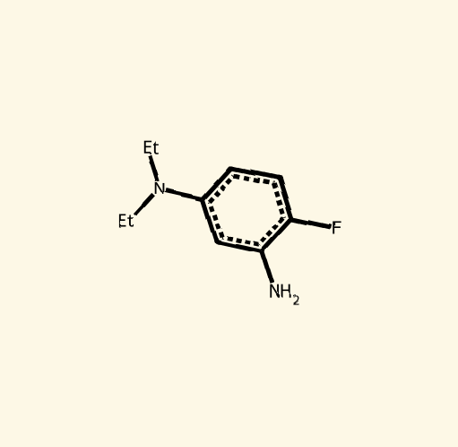 CCN(CC)c1ccc(F)c(N)c1